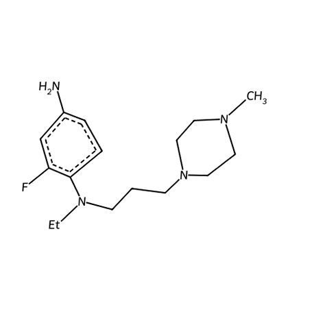 CCN(CCCN1CCN(C)CC1)c1ccc(N)cc1F